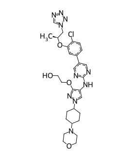 C[C@@H](Cn1cnnn1)Oc1cc(-c2cnc(Nc3cn(C4CCC(N5CCOCC5)CC4)nc3OCCO)nc2)ccc1Cl